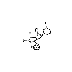 O=C1c2c(F)c(F)cc(C3CC4CC(C3)N4)c2CN1C1CCCNC1